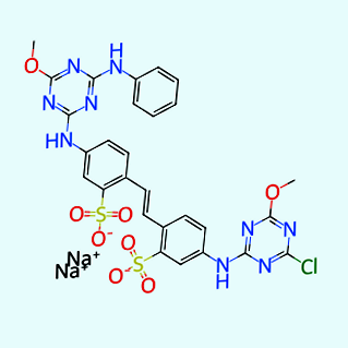 COc1nc(Cl)nc(Nc2ccc(C=Cc3ccc(Nc4nc(Nc5ccccc5)nc(OC)n4)cc3S(=O)(=O)[O-])c(S(=O)(=O)[O-])c2)n1.[Na+].[Na+]